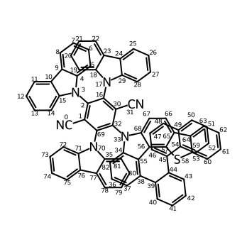 N#Cc1c(-n2c3ccccc3c3ccccc32)c(-n2c3ccccc3c3ccccc32)c(C#N)c(-n2c3cccc(-c4ccccc4-c4cccc5ccccc45)c3c3c4sc5ccccc5c4ccc32)c1-n1c2ccccc2c2ccccc21